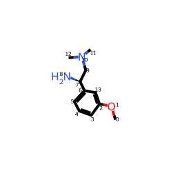 COc1cccc([C@@H](N)CN(C)C)c1